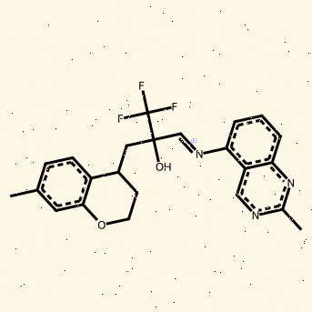 Cc1ccc2c(c1)OCCC2CC(O)(/C=N/c1cccc2nc(C)ncc12)C(F)(F)F